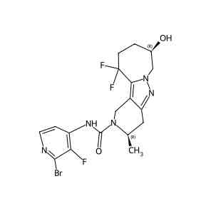 C[C@@H]1Cc2nn3c(c2CN1C(=O)Nc1ccnc(Br)c1F)C(F)(F)CC[C@@H](O)C3